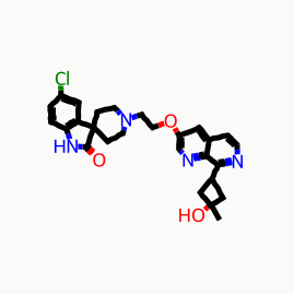 CC1(O)CC(c2nccc3cc(OCCN4CCC5(CC4)C(=O)Nc4ccc(Cl)cc45)cnc23)C1